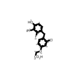 CC(C)c1c(O)ccc(Cc2ccc(OCC(=O)O)cc2Cl)c1F